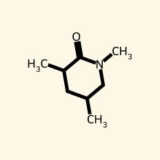 CC1CC(C)C(=O)N(C)C1